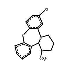 O=C(O)C1CCCN2c3cc(Cl)ccc3Sc3ccccc3C12